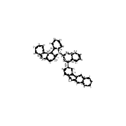 c1ccc2cc3c(cc2c1)oc1ccc(-c2nc(-n4c5ccccc5c5c6c(ccc54)sc4ccccc46)nc4ccccc24)cc13